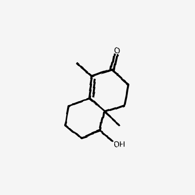 CC1=C2CCCC(O)C2(C)CCC1=O